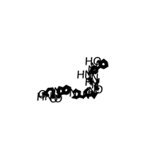 O=C1CCC(N2Cc3ccc(N4CCC(CN5CCN(C(=O)N6CCN7c8cc(-c9ccccc9O)nnc8NC[C@H]7C6)C6(CC6)C5)CC4)cc3C2=O)C(=O)N1